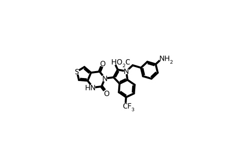 Nc1cccc(Cn2c(C(=O)O)c(-n3c(=O)[nH]c4cscc4c3=O)c3cc(C(F)(F)F)ccc32)c1